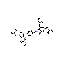 C=CC(=O)Oc1ccc(-c2ccc(/C=C/c3c(F)cc(OC(=O)C=C)cc3OC(=O)C=C)cc2)c(OC(=O)C=C)c1